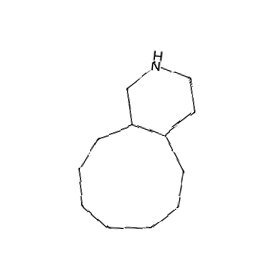 C1CCCC2CCNCC2CCC1